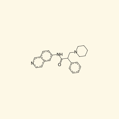 O=C(Nc1ccc2cnccc2c1)C(CN1CCCCC1)c1ccccc1